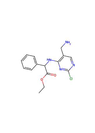 CCOC(=O)C(Nc1nc(Cl)ncc1CN)c1ccccc1